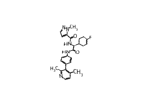 Cc1ccnc(C)c1-c1ccc(NC(=O)C(NC(=O)c2ccnn2C)C2CC=C(F)CC2)cc1